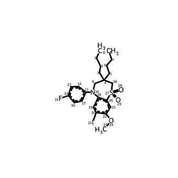 CCCCC1(CCCC)CN(c2ccc(F)cc2)c2cc(I)c(OC)cc2S(=O)(=O)C1